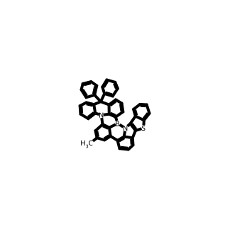 Cc1cc2c3c(c1)N1c4ccccc4C(c4ccccc4)(c4ccccc4)c4cccc(c41)B3n1c3c-2cccc3c2sc3ccccc3c21